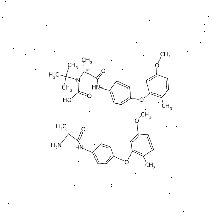 COc1ccc(C)c(Oc2ccc(NC(=O)[C@@H](C)N(C(=O)O)C(C)(C)C)cc2)c1.COc1ccc(C)c(Oc2ccc(NC(=O)[C@@H](C)N)cc2)c1